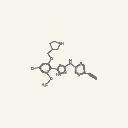 COc1cc(Cl)cc(OC[C@H]2CCNC2)c1-c1cc(Nc2cnc(C#N)cn2)n[nH]1